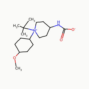 COC1CCC([N+]2(C(C)(C)C)CCC(NC(=O)[O-])CC2)CC1